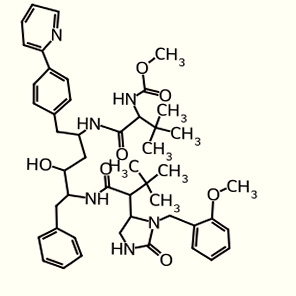 COC(=O)NC(C(=O)NC(Cc1ccc(-c2ccccn2)cc1)CC(O)C(Cc1ccccc1)NC(=O)C(C1CNC(=O)N1Cc1ccccc1OC)C(C)(C)C)C(C)(C)C